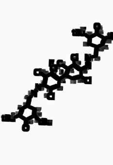 CC(C)(C)C1=CC(=C/N=N/c2c(Cl)cc(-c3cc(Cl)c(/N=N/C=C4C=C(C(C)(C)C)C(=O)C(C(C)(C)C)=C4)c(Cl)c3C(F)(F)F)c(C(F)(F)F)c2Cl)C=C(C(C)(C)C)C1=O